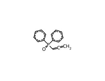 C=C=CP(=O)(c1ccccc1)c1ccccc1